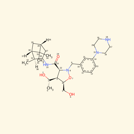 C[C@H](O)[C@@H]1[C@H](CO)ON(Cc2cccc(N3CCNCC3)c2)[C@@H]1C(=O)NC1C[C@H]2C[C@@H]([C@@H]1C)C2(C)C